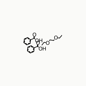 CCOCCOCC.O=C(O)c1ccccc1.O=C(O)c1ccccc1